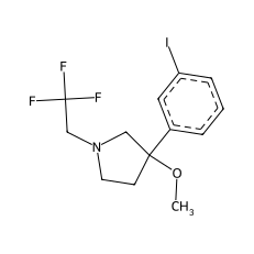 COC1(c2cccc(I)c2)CCN(CC(F)(F)F)C1